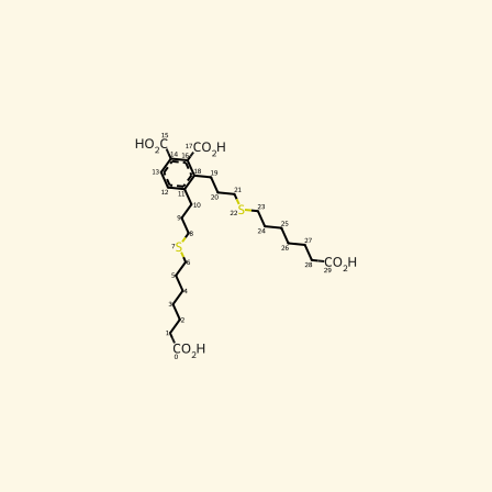 O=C(O)CCCCCCSCCCc1ccc(C(=O)O)c(C(=O)O)c1CCCSCCCCCCC(=O)O